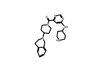 O=C(c1cc(NC2CCNCC2)ncn1)N1CCC(N2CCc3ccccc3C2)CC1